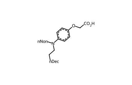 CCCCCCCCCCCCN(CCCCCCCCC)c1ccc(OCC(=O)O)cc1